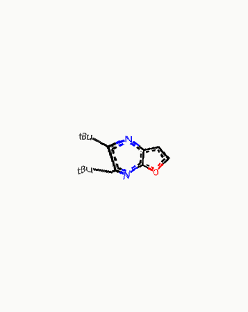 CC(C)(C)c1nc2ccoc2nc1C(C)(C)C